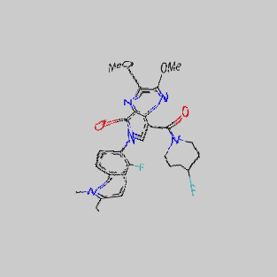 COc1nc2c(C(=O)N3CCC(F)CC3)cn(-c3ccc4c(cc(C)n4C)c3F)c(=O)c2nc1OC